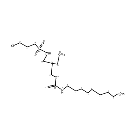 CCCCCCCCCCCCCCCCCCNC(=O)OCC(CNS(=O)(=O)CCCCl)COC